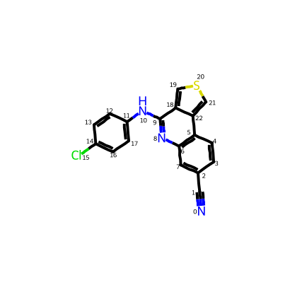 N#Cc1ccc2c(c1)nc(Nc1ccc(Cl)cc1)c1cscc12